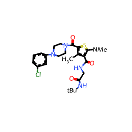 CNc1sc(C(=O)N2CCN(c3cccc(Cl)c3)CC2)c(C)c1C(=O)NCC(=O)NC(C)(C)C